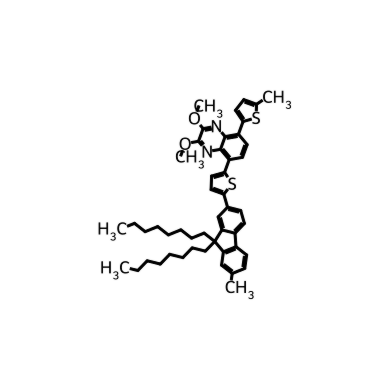 CCCCCCCCC1(CCCCCCCC)c2cc(C)ccc2-c2ccc(-c3ccc(-c4ccc(-c5ccc(C)s5)c5nc(OC)c(OC)nc45)s3)cc21